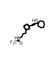 O=C(NCCCc1cccc(C#CC2(O)CCCCCC2)c1)C(F)(F)F